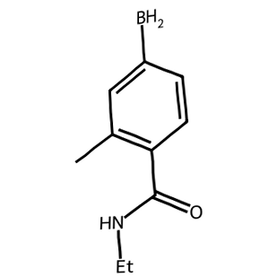 Bc1ccc(C(=O)NCC)c(C)c1